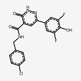 O=C(NCc1ccc(Cl)cc1)c1cc(-c2cc(F)c(O)c(F)c2)n[nH]c1=O